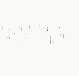 COCCCc1sc(N(C)c2cc(C)c(Nc3nc4ccccc4s3)nn2)nc1C(=O)O